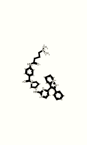 CN(C)CCCC(=O)Nc1ccc(C(=O)N2CC[C@H](Nc3nccc(-c4c(-c5ccccc5)nn5ccccc45)n3)C2)cc1